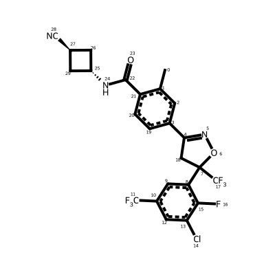 Cc1cc(C2=NOC(c3cc(C(F)(F)F)cc(Cl)c3F)(C(F)(F)F)C2)ccc1C(=O)N[C@H]1C[C@H](C#N)C1